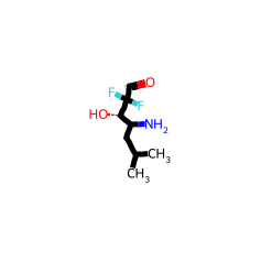 CC(C)CC(N)[C@H](O)C(F)(F)[C]=O